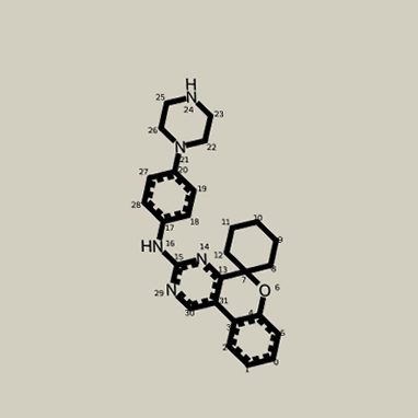 c1ccc2c(c1)OC1(CCCCC1)c1nc(Nc3ccc(N4CCNCC4)cc3)ncc1-2